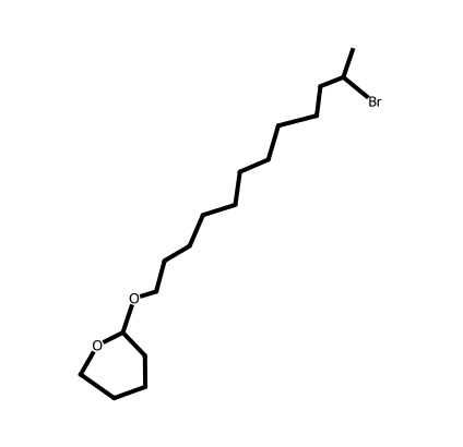 CC(Br)CCCCCCCCCCOC1CCCCO1